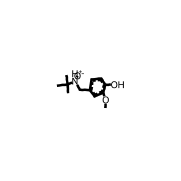 COc1cc(C[NH+]([O-])C(C)(C)C)ccc1O